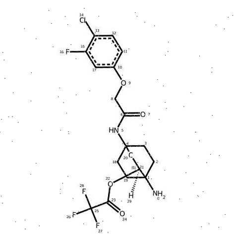 NC12CCC(NC(=O)COc3ccc(Cl)c(F)c3)(CC1)C[C@@H]2OC(=O)C(F)(F)F